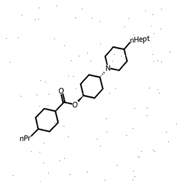 CCCCCCCC1CCN([C@H]2CC[C@H](OC(=O)C3CCC(CCC)CC3)CC2)CC1